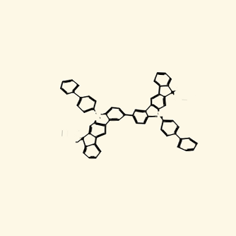 CC1(C)c2ccccc2-c2cc3c4cc(-c5ccc6c(c5)c5cc7c(cc5n6-c5ccc(-c6ccccc6)cc5)C(C)(I)c5ccccc5-7)ccc4n(-c4ccc(-c5ccccc5)cc4)c3cc21